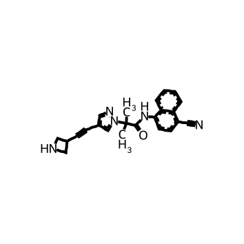 CC(C)(C(=O)Nc1ccc(C#N)c2ccccc12)n1cc(C#CC2CNC2)cn1